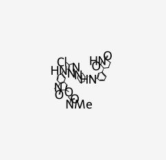 CNC(=O)COc1cc2cc(Nc3nc(N4CCC[C@@H](CNc5cccc([C@@H]6CCC(=O)NC6=O)c5)C4)ncc3Cl)ccc2n(C)c1=O